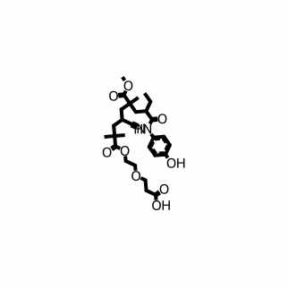 CCC(CC(C)(CC(C#N)CC(C)(C)C(=O)OCCOCCC(=O)O)C(=O)OC)C(=O)Nc1ccc(O)cc1